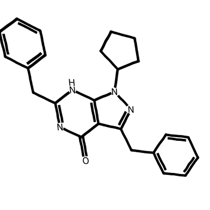 O=c1nc(Cc2ccccc2)[nH]c2c1c(Cc1ccccc1)nn2C1CCCC1